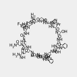 CCCC[C@H]1C(=O)N(C)[C@@H](CCCC)C(=O)N[C@@H](CCCNC(=N)N)C(=O)N[C@H](C(=O)NCC(N)=O)CSCC(=O)N[C@@H](Cc2cc(F)cc(F)c2)C(=O)N(C)[C@@H](C)C(=O)N[C@@H](CC(N)=O)C(=O)N2CCC[C@H]2C(=O)N[C@@H](Cc2cnc[nH]2)C(=O)N[C@@H](CC(C)C)C(=O)N2C[C@H](O)CC2C(=O)N[C@@H](Cc2c[nH]c3ccccc23)C(=O)N[C@@H](CO)C(=O)N[C@@H](Cc2c[nH]c3ccccc23)C(=O)N1C